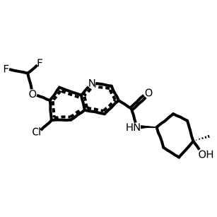 C[C@]1(O)CC[C@@H](NC(=O)c2cnc3cc(OC(F)F)c(Cl)cc3c2)CC1